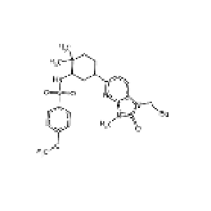 Cn1c(=O)n(CC(C)(C)C)c2ccc(C3CCC(C)(C)C(NS(=O)(=O)c4ccc(OC(F)(F)F)cc4)C3)nc21